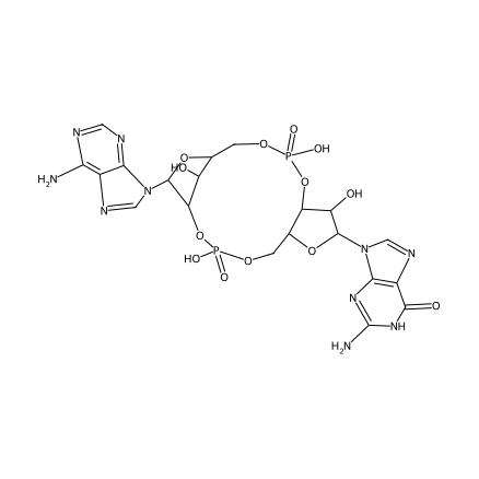 Nc1nc2c(ncn2C2OC3COP(=O)(O)OC4C(O)C(COP(=O)(O)OC3C2O)OC4n2cnc3c(N)ncnc32)c(=O)[nH]1